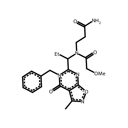 CCC(c1nc2onc(C)c2c(=O)n1Cc1ccccc1)N(CCC(N)=O)C(=O)COC